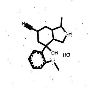 COc1ccccc1C1(O)CC(C#N)CC2C(C)NCC21.Cl